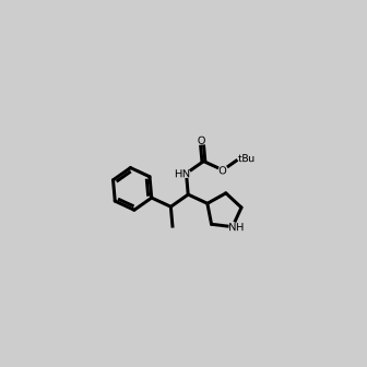 CC(c1ccccc1)C(NC(=O)OC(C)(C)C)C1CCNC1